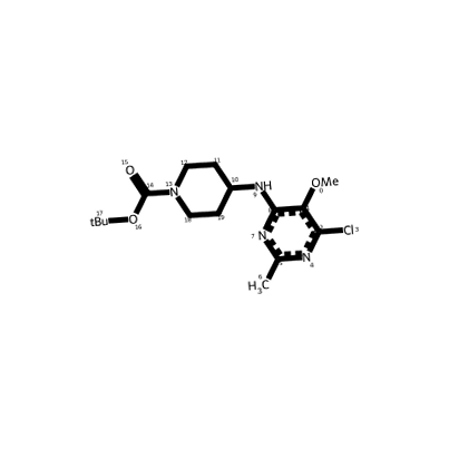 COc1c(Cl)nc(C)nc1NC1CCN(C(=O)OC(C)(C)C)CC1